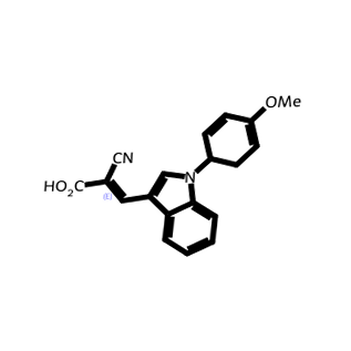 COC1=CCC(n2cc(/C=C(\C#N)C(=O)O)c3ccccc32)C=C1